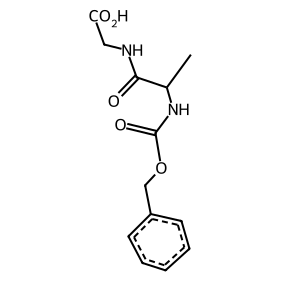 CC(NC(=O)OCc1ccccc1)C(=O)NCC(=O)O